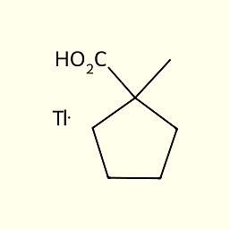 CC1(C(=O)O)CCCC1.[Tl]